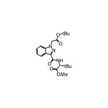 COC(=O)[C@@H](NC(=O)c1nn(CC(=O)OC(C)(C)C)c2ccccc12)C(C)(C)C